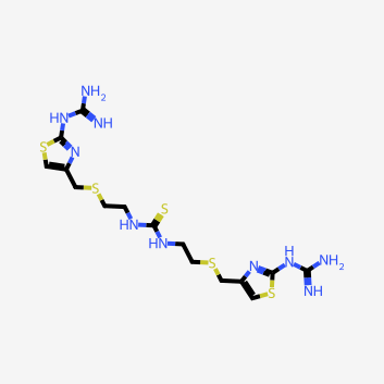 N=C(N)Nc1nc(CSCCNC(=S)NCCSCc2csc(NC(=N)N)n2)cs1